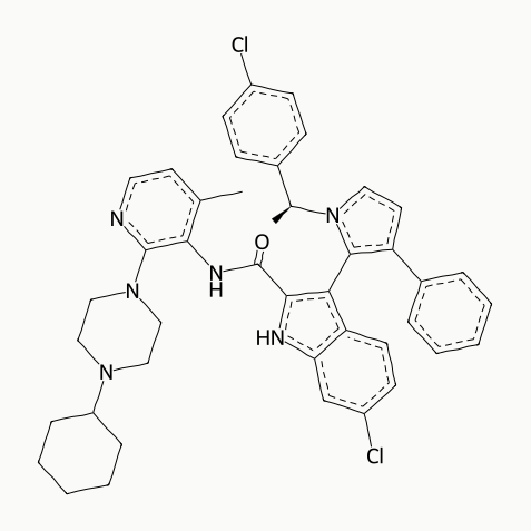 Cc1ccnc(N2CCN(C3CCCCC3)CC2)c1NC(=O)c1[nH]c2cc(Cl)ccc2c1-c1c(-c2ccccc2)ccn1[C@@H](C)c1ccc(Cl)cc1